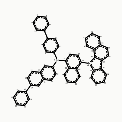 c1ccc(-c2ccc(N(c3ccc4cc(-c5ccccc5)ccc4c3)c3ccc(-n4c5ccccc5c5ccc6ccccc6c54)c4ccccc34)cc2)cc1